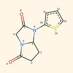 O=C1CCC2N1CC(=O)N2c1cccs1